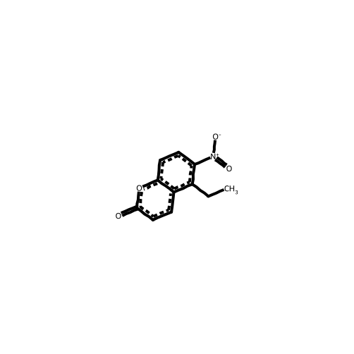 CCc1c([N+](=O)[O-])ccc2oc(=O)ccc12